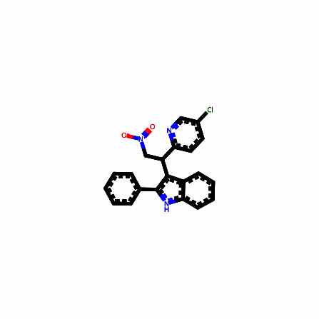 O=[N+]([O-])CC(c1ccc(Cl)cn1)c1c(-c2ccccc2)[nH]c2ccccc12